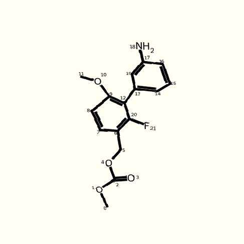 COC(=O)OCc1ccc(OC)c(-c2cccc(N)c2)c1F